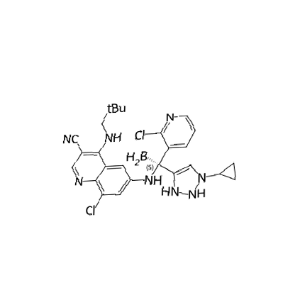 B[C@@](Nc1cc(Cl)c2ncc(C#N)c(NCC(C)(C)C)c2c1)(C1=CN(C2CC2)NN1)c1cccnc1Cl